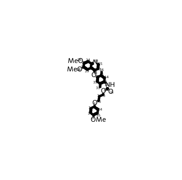 COc1ccc(OCCCOC(=O)Nc2cc(C)c(Oc3ccnc4cc(OC)c(OC)cc34)cc2C)cc1